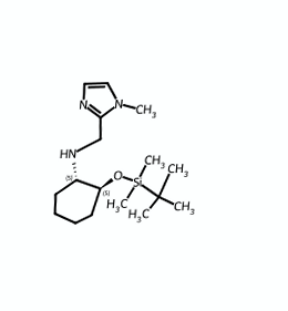 Cn1ccnc1CN[C@H]1CCCC[C@@H]1O[Si](C)(C)C(C)(C)C